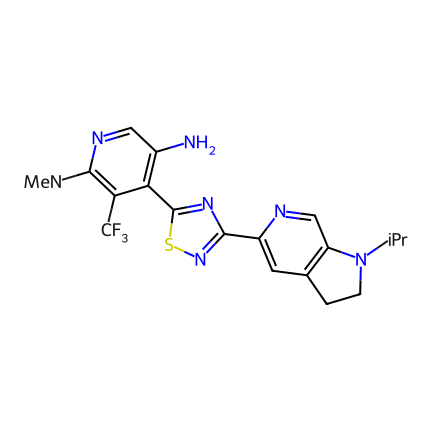 CNc1ncc(N)c(-c2nc(-c3cc4c(cn3)N(C(C)C)CC4)ns2)c1C(F)(F)F